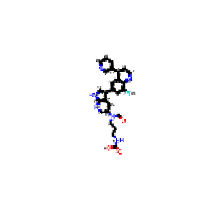 O=CN(CCCNC(=O)O)c1cnc2[nH]cc(-c3cc(F)c4nccc(-c5cccnc5)c4c3)c2c1